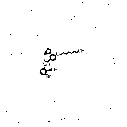 C#Cc1c(Br)cccc1-c1nnc(-c2ccc(OCCCCCCCC)cc2)o1.c1cc2cc-2c1